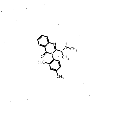 CNC(C)c1nc2ccccc2c(=O)n1-c1ccc(C)cc1C